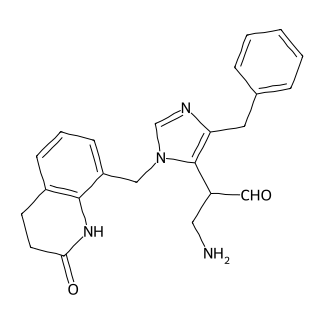 NCC(C=O)c1c(Cc2ccccc2)ncn1Cc1cccc2c1NC(=O)CC2